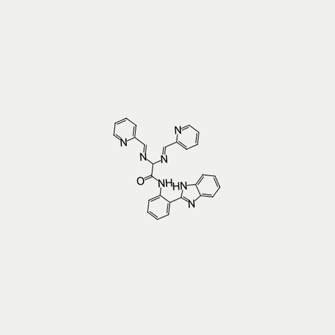 O=C(Nc1ccccc1-c1nc2ccccc2[nH]1)C(N=Cc1ccccn1)N=Cc1ccccn1